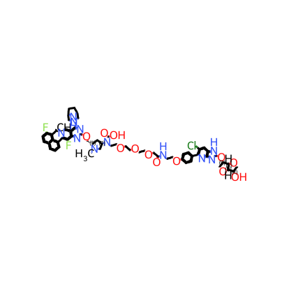 C#Cc1c(F)ccc2cccc(-c3ncc4c(N5CC6CCC(C5)N6)nc(OC[C@@H]5C[C@@H](N(CCOCCOCCOCC(=O)NCCOc6ccc(-c7nc8nc(O[C@@H]9CO[C@H]%10[C@@H]9OC[C@H]%10O)[nH]c8cc7Cl)cc6)C(=O)O)CN5C)nc4c3F)c12